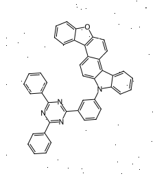 c1ccc(-c2nc(-c3ccccc3)nc(-c3cccc(-n4c5ccccc5c5c6ccc7oc8ccccc8c7c6ccc54)c3)n2)cc1